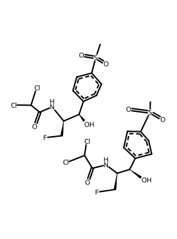 CS(=O)(=O)c1ccc([C@@H](O)[C@@H](CF)NC(=O)C(Cl)Cl)cc1.CS(=O)(=O)c1ccc([C@@H](O)[C@@H](CF)NC(=O)C(Cl)Cl)cc1